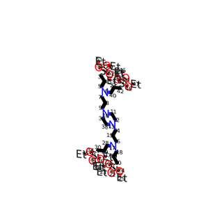 CCO[Si](CCCN(CCCN1CCN(CCCN(CCC[Si](OCC)(OCC)OCC)CCC[Si](OCC)(OCC)OCC)CC1)CCC[Si](OCC)(OCC)OCC)(OCC)OCC